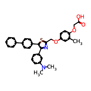 Cc1cc(OCc2nc(-c3cccc(N(C)C)c3)c(-c3ccc(-c4ccccc4)cc3)s2)ccc1OCC(=O)O